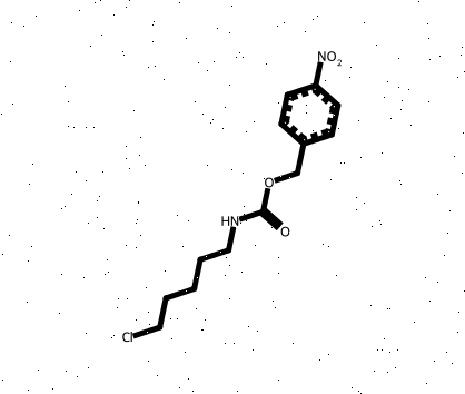 O=C(NCCCCCCl)OCc1ccc([N+](=O)[O-])cc1